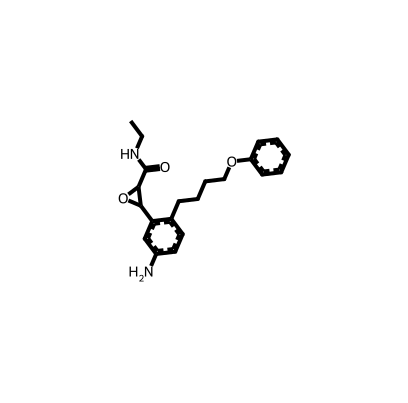 CCNC(=O)C1OC1c1cc(N)ccc1CCCCOc1ccccc1